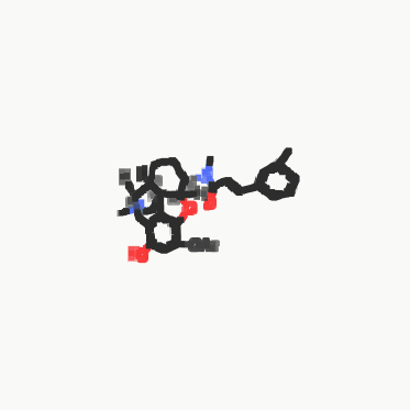 CC(=O)Oc1cc(O)c2c3c1O[C@H]1[C@@H](N(C)C(=O)C=Cc4cccc(C)c4)CC[C@H]4[C@@H](C2)N(C)CC[C@@]341